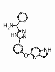 NC(c1ccccc1)c1nnc(-c2cccc(Oc3ccc4[nH]ccc4n3)c2)[nH]1